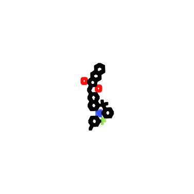 Cc1ccc(N2c3ccccc3C(C)(C)c3c2ccc2cc(C=C4C(=O)c5cc6ccccc6cc5C4=O)ccc32)c(F)c1